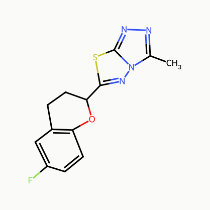 Cc1nnc2sc(C3CCc4cc(F)ccc4O3)nn12